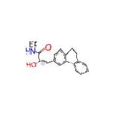 CCNC(=O)/C(O)=C\c1ccc2c(c1)-c1ccccc1CC2